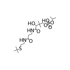 CC(C)OP(=O)(O)OCC(C)(C)C(O)C(=O)NCCC(=O)NCCSC(C)(C)C